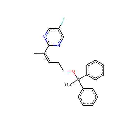 C/C(=C/CCO[Si](c1ccccc1)(c1ccccc1)C(C)(C)C)c1ncc(F)cn1